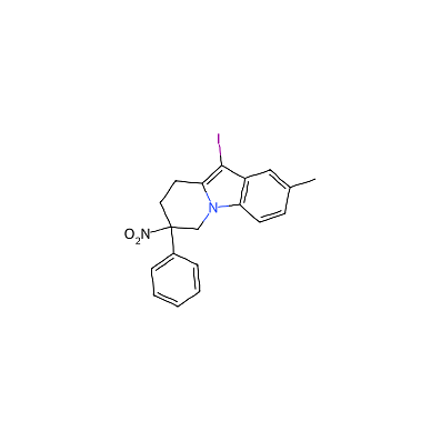 Cc1ccc2c(c1)c(I)c1n2CC(c2ccccc2)([N+](=O)[O-])CC1